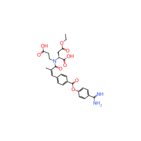 CCOC(=O)C[C@@H](C(=O)O)N(CCC(=O)O)C(=O)C(C)=Cc1ccc(C(=O)Oc2ccc(C(=N)N)cc2)cc1